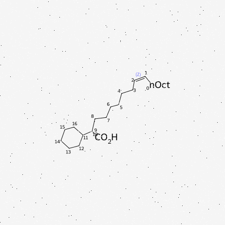 CCCCCCCC/C=C\CCCCCCC(C(=O)O)C1CCCCC1